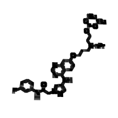 CCCN(CCCOc1ccc2c(Nc3cnn(CC(=O)Nc4cccc(F)c4)c3)ncnc2c1)CCOP(OC(C)(C)C)OC(C)(C)C